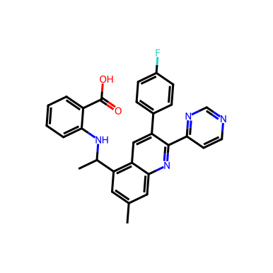 Cc1cc(C(C)Nc2ccccc2C(=O)O)c2cc(-c3ccc(F)cc3)c(-c3ccncn3)nc2c1